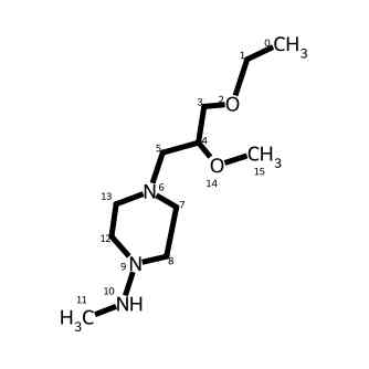 CCOCC(CN1CCN(NC)CC1)OC